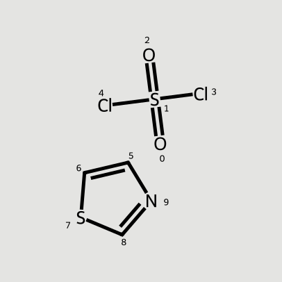 O=S(=O)(Cl)Cl.c1cscn1